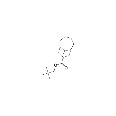 CC1C2CCCCC1CN(C(=O)OCC(C)(C)C)C2